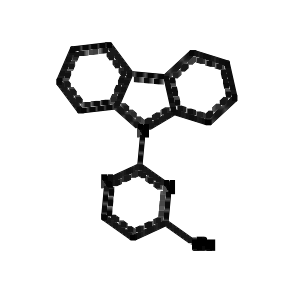 CC(C)(C)c1ccnc(-n2c3ccccc3c3ccccc32)n1